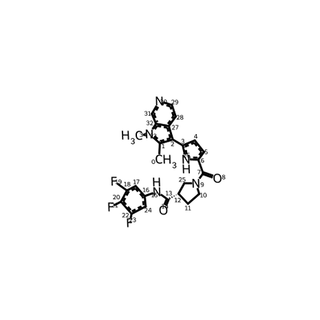 Cc1c(-c2ccc(C(=O)N3CC[C@H](C(=O)Nc4cc(F)c(F)c(F)c4)C3)[nH]2)c2ccncc2n1C